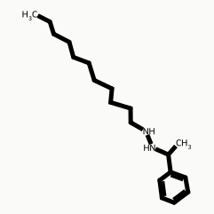 CCCCCCCCCCCNNC(C)c1ccccc1